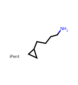 CCC[C@H](C)C1CC1CCCCN